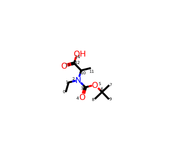 CCN(C(=O)OC(C)(C)C)C(C)C(=O)O